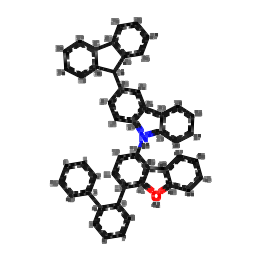 c1ccc(-c2ccccc2-c2ccc(-n3c4ccccc4c4cc(C5c6ccccc6-c6ccccc65)ccc43)c3c2oc2ccccc23)cc1